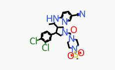 CC(Nc1ccc(C#N)cn1)C1CN(C(=O)N2CCN(S(C)(=O)=O)CC2)CC1c1ccc(Cl)c(Cl)c1